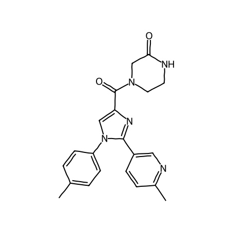 Cc1ccc(-n2cc(C(=O)N3CCNC(=O)C3)nc2-c2ccc(C)nc2)cc1